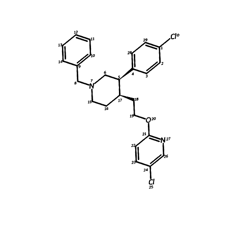 Clc1ccc([C@@H]2CN(Cc3ccccc3)CC[C@@H]2CCOc2ccc(Cl)cn2)cc1